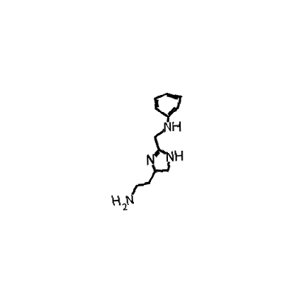 NCCC1CNC(CNc2ccccc2)=N1